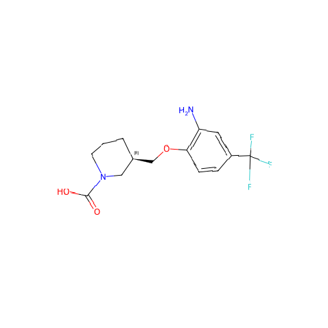 Nc1cc(C(F)(F)F)ccc1OC[C@@H]1CCCN(C(=O)O)C1